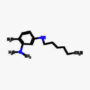 Cc1ccc(NCCCCCC(=O)O)cc1N(C)C